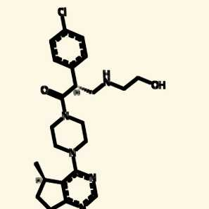 C[C@@H]1CCc2ncnc(N3CCN(C(=O)[C@@H](CNCCO)c4ccc(Cl)cc4)CC3)c21